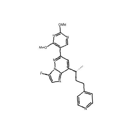 COc1ncc(-c2cc([C@H](C)CCc3ccncc3)c3ncc(F)n3n2)c(OC)n1